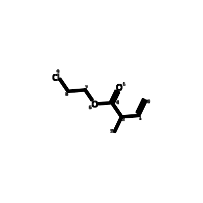 C=CC(C)C(=O)OCCCl